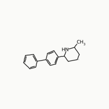 CC1C[CH]CC(c2ccc(-c3ccccc3)cc2)N1